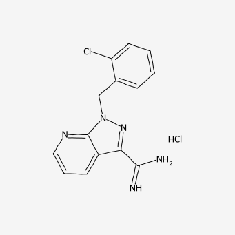 Cl.N=C(N)c1nn(Cc2ccccc2Cl)c2ncccc12